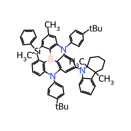 Cc1cc2c3c(c1)[Si](C)(c1ccccc1)c1cccc4c1B3c1c(cc(N3c5ccccc5C5(C)CCCCC35C)cc1N2c1ccc(C(C)(C)C)cc1)N4c1ccc(C(C)(C)C)cc1